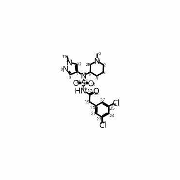 CN1CCCC(N(c2cnn(C)c2)S(=O)(=O)NC(=O)Cc2cc(Cl)cc(Cl)c2)C1